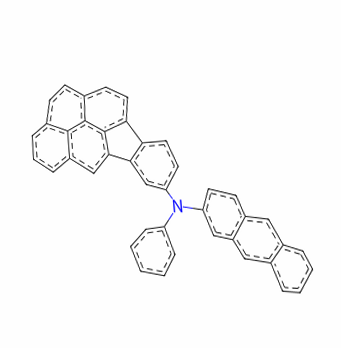 c1ccc(N(c2ccc3c(c2)-c2cc4cccc5ccc6ccc-3c2c6c54)c2ccc3cc4ccccc4cc3c2)cc1